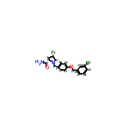 NC(=O)[C@@H]1C[C@H](F)CN1Cc1ccc(OCc2cccc(Br)c2)cc1